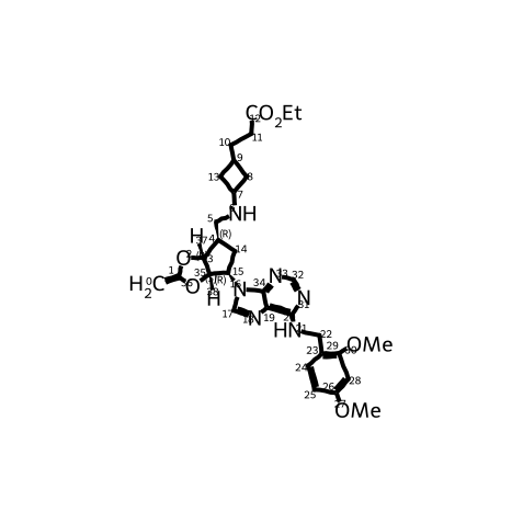 C=C1O[C@@H]2[C@@H](CNC3CC(CCC(=O)OCC)C3)C[C@@H](n3cnc4c(NCc5ccc(OC)cc5OC)ncnc43)[C@@H]2O1